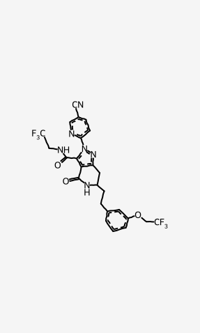 N#Cc1ccc(-n2nc3c(c2C(=O)NCC(F)(F)F)C(=O)NC(CCc2cccc(OCC(F)(F)F)c2)C3)nc1